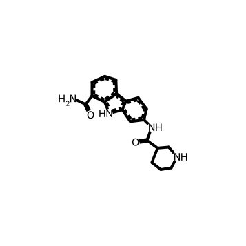 NC(=O)c1cccc2c1[nH]c1cc(NC(=O)C3CCCNC3)ccc12